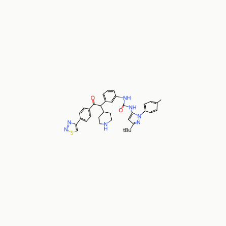 Cc1ccc(-n2nc(C(C)(C)C)cc2NC(=O)Nc2cccc(C(C(=O)c3ccc(-c4csnn4)cc3)C3CCNCC3)c2)cc1